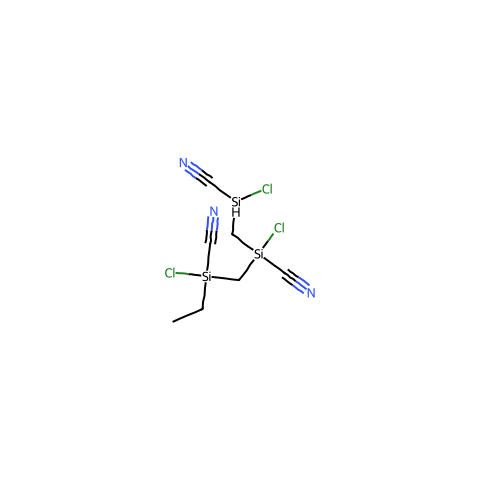 CC[Si](Cl)(C#N)C[Si](Cl)(C#N)C[SiH](Cl)C#N